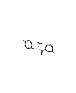 C=C1c2cc(C)ccc2NC(=O)N1Cc1ccc(F)cc1